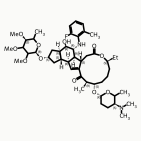 CC[C@H]1CCC[C@H](O[C@H]2CC[C@H](N(C)C)C(C)O2)[C@@H](C)C(=O)C2=C[C@H]3[C@@H]4C[C@H](O[C@@H]5OC(C)[C@H](OC)C(OC)C5OC)C[C@H]4[C@@H](O)[C@H](Nc4c(C)cccc4F)[C@H]3[C@@H]2CC(=O)O1